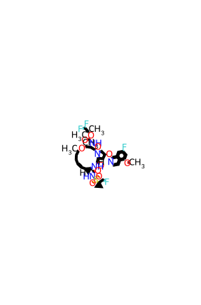 COc1cc(F)cc2c(O[C@@H]3C[C@H]4C(=O)N[C@]5(C(=O)NS(=O)(=O)C6(CF)CC6)C[C@H]5C=CCC[C@@H](C)O[C@@H](C)[C@H](NC(=O)OC(C)(C)C(F)F)C(=O)N4C3)nccc12